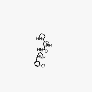 O=C(NC1CNN(Cc2cccc(Cl)c2)C1)C1CC(C2CCCCN2)ON1